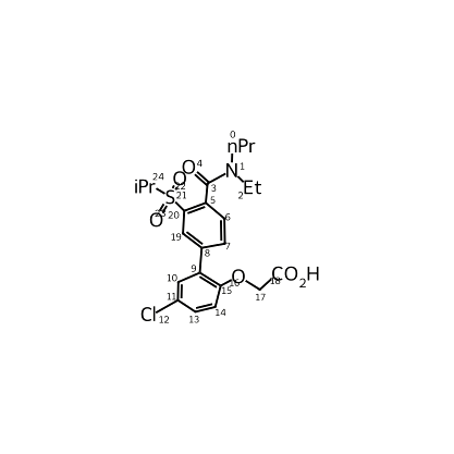 CCCN(CC)C(=O)c1ccc(-c2cc(Cl)ccc2OCC(=O)O)cc1S(=O)(=O)C(C)C